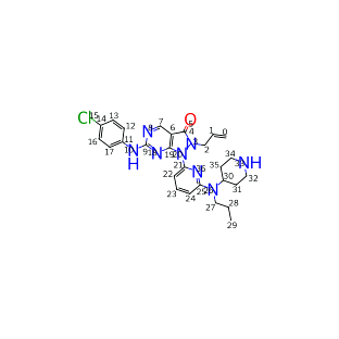 C=CCn1c(=O)c2cnc(Nc3ccc(Cl)cc3)nc2n1-c1cccc(N(CCC)C2CCNCC2)n1